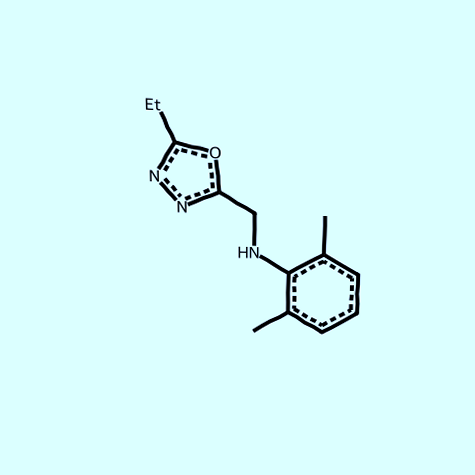 CCc1nnc(CNc2c(C)cccc2C)o1